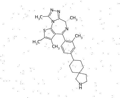 Cc1cc(C2CCC3(CCNC3)CC2)ccc1C1=N[C@@H](C)c2nnc(C)n2-c2sc(C)c(C)c21